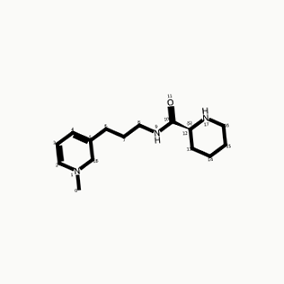 CN1C=CC=C(CCCNC(=O)[C@@H]2CCCCN2)C1